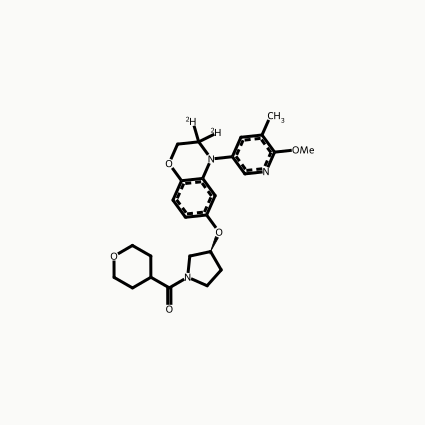 [2H]C1([2H])COc2ccc(O[C@H]3CCN(C(=O)C4CCOCC4)C3)cc2N1c1cnc(OC)c(C)c1